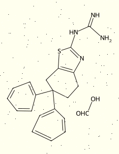 N=C(N)Nc1nc2c(s1)CC(c1ccccc1)(c1ccccc1)CC2.O=CO